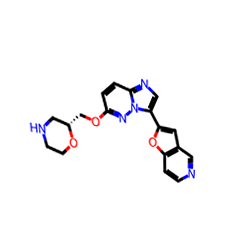 c1cc2oc(-c3cnc4ccc(OC[C@H]5CNCCO5)nn34)cc2cn1